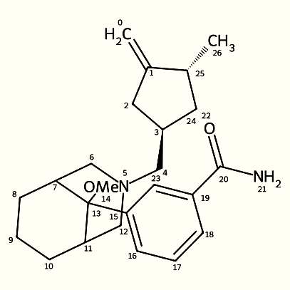 C=C1C[C@H](CN2CC3CCCC(C2)C3(OC)c2cccc(C(N)=O)c2)C[C@H]1C